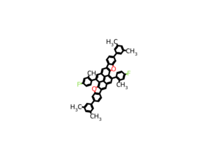 Cc1cc(C)cc(-c2ccc3c(c2)oc2c3cc3cc(-c4ccc(F)cc4C)c4c5oc6cc(-c7cc(C)cc(C)c7)ccc6c5cc5cc(-c6ccc(F)cc6C)c2c3c54)c1